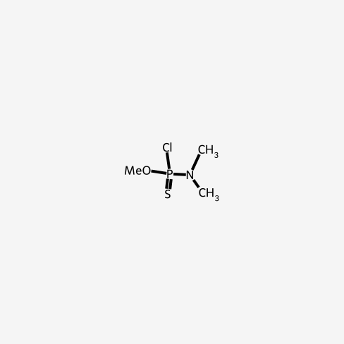 COP(=S)(Cl)N(C)C